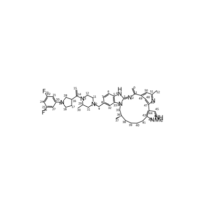 C=C1/N=C2\Nc3ccc(CN4CCN(C(=C)C5CCN(c6cc(F)cc(F)c6)C5)C(C)C4)cc3N2C[C@H](C)CCCC/C(NC)=C(/C=N)c2cc1cc(C)n2